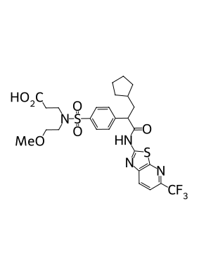 COCCN(CCC(=O)O)S(=O)(=O)c1ccc(C(CC2CCCC2)C(=O)Nc2nc3ccc(C(F)(F)F)nc3s2)cc1